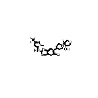 Cn1nc(C(F)(F)F)cc1Nc1ncc2cc(Cl)c(C3CCN([C@]4(C)COC[C@@H]4O)CC3)cc2n1